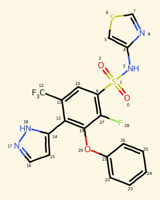 O=S(=O)(Nc1cscn1)c1cc(C(F)(F)F)c(-c2ccn[nH]2)c(Oc2ccccc2)c1F